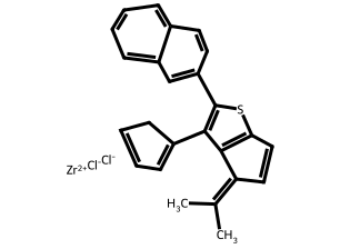 CC(C)=C1C=Cc2sc(-c3ccc4ccccc4c3)c(C3=CC=CC3)c21.[Cl-].[Cl-].[Zr+2]